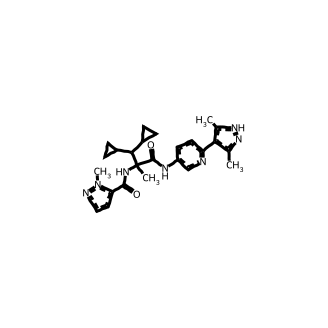 Cc1n[nH]c(C)c1-c1ccc(NC(=O)C(C)(NC(=O)c2ccnn2C)C(C2CC2)C2CC2)cn1